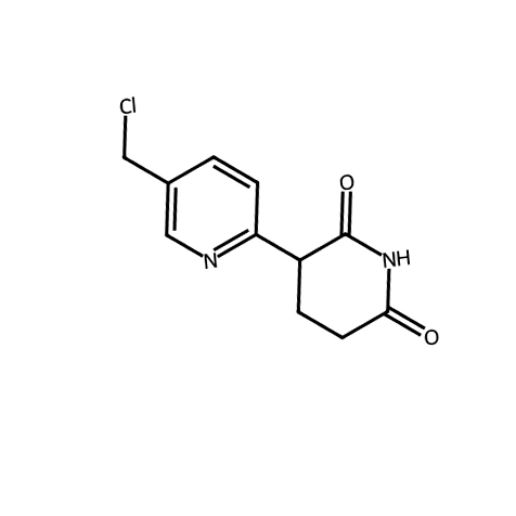 O=C1CCC(c2ccc(CCl)cn2)C(=O)N1